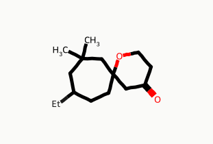 CCC1CCC2(CC(=O)CCO2)CC(C)(C)C1